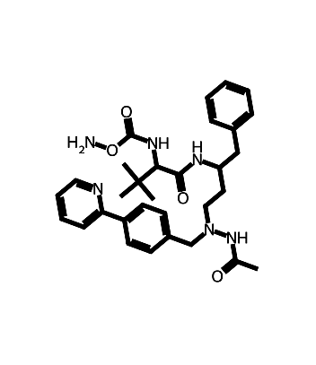 CC(=O)NN(CCC(Cc1ccccc1)NC(=O)C(NC(=O)ON)C(C)(C)C)Cc1ccc(-c2ccccn2)cc1